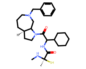 CN[C@](C)(S)C(=O)NC(C(=O)N1CC[C@H]2CCCN(Cc3ccccc3)CC21)C1CCCCC1